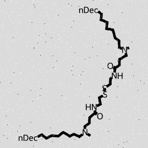 CCCCCCCCCCCCCCCCCCN(C)CCCC(=O)NCCSSCCNC(=O)CCCN(C)CCCCCCCCCCCCCCCCCC